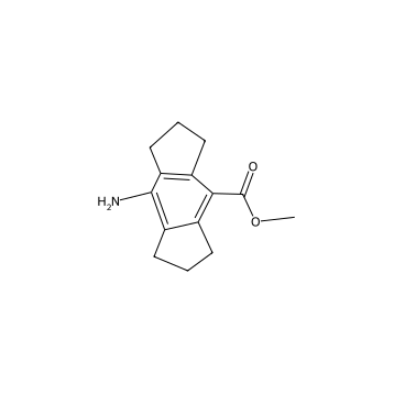 COC(=O)c1c2c(c(N)c3c1CCC3)CCC2